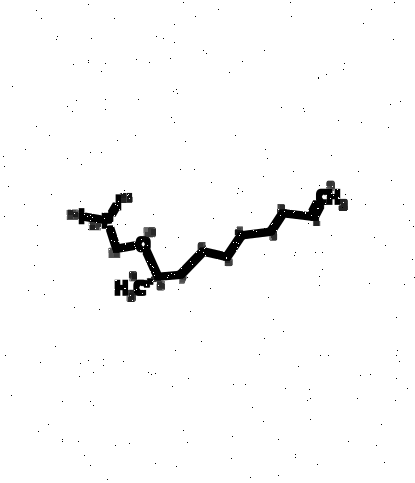 C=CCCCCCC[C@H](C)OCP(I)I